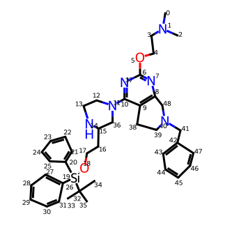 CN(C)CCOc1nc2c(c(N3CCNC(CCO[Si](c4ccccc4)(c4ccccc4)C(C)(C)C)C3)n1)CCN(Cc1ccccc1)C2